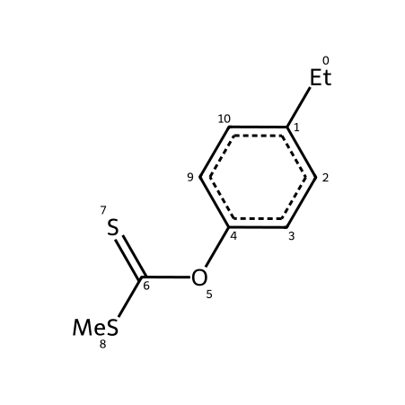 CCc1ccc(OC(=S)SC)cc1